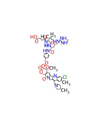 CC[C@@]1(OC(=O)OCc2ccc(NC(=O)[C@H](CCCNC(=N)N)NC(=O)[C@@H](NC(=O)CCC(=O)O)C(C)C)cc2)CC(=O)OCc2c1cc1n(c2=O)Cc2c-1nc1cc(Cl)c(C)cc1c2CN1CCC(C)CC1